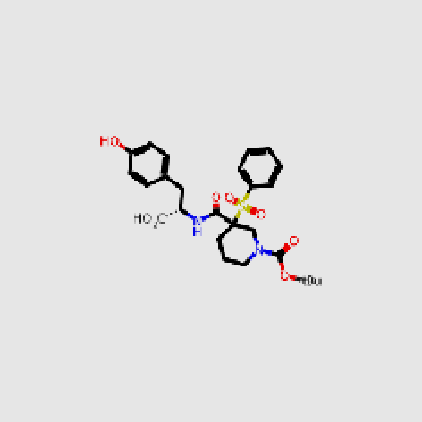 CC(C)(C)OC(=O)N1CCCC(C(=O)N[C@@H](Cc2ccc(O)cc2)C(=O)O)(S(=O)(=O)c2ccccc2)C1